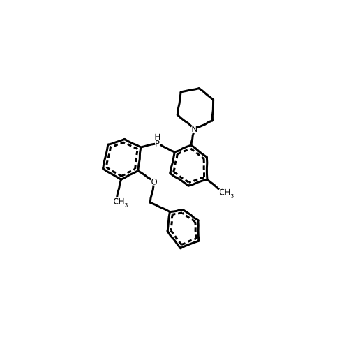 Cc1ccc(Pc2cccc(C)c2OCc2ccccc2)c(N2CCCCC2)c1